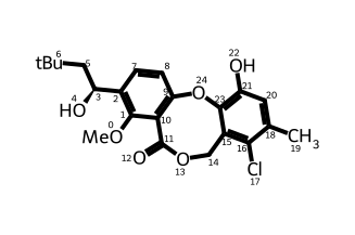 COc1c([C@@H](O)CC(C)(C)C)ccc2c1C(=O)OCc1c(Cl)c(C)cc(O)c1O2